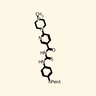 CCCCCc1ccc(NC(=S)NC(=O)c2ccc(N3CCN(C)CC3)nc2)cc1